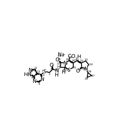 O=C(CSc1ncnc2[nH]ncc12)N[C@@H]1C(=O)N2C(C(=O)O)=C(C=C3CCN(C4CC4)C3=O)CS[C@H]12.[Na]